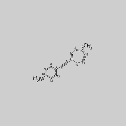 CC1=CC=C(C#Cc2ccc(N)cc2)CC#C1